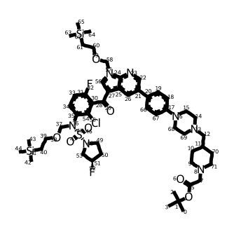 CC(C)(C)OC(=O)CN1CCC(CN2CCN(c3ccc(-c4cnc5c(c4)c(C(=O)c4c(F)ccc(N(COCC[Si](C)(C)C)S(=O)(=O)N6CC[C@@H](F)C6)c4Cl)cn5COCC[Si](C)(C)C)cc3)CC2)CC1